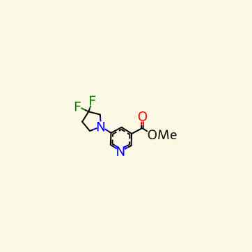 COC(=O)c1cncc(N2CCC(F)(F)C2)c1